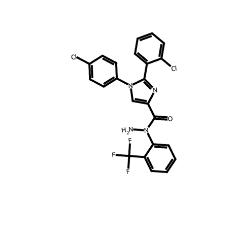 NN(C(=O)c1cn(-c2ccc(Cl)cc2)c(-c2ccccc2Cl)n1)c1ccccc1C(F)(F)F